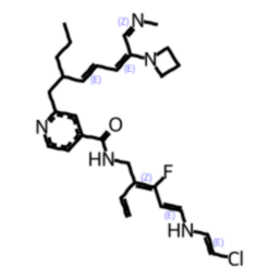 C=C/C(CNC(=O)c1ccnc(CC(/C=C/C=C(\C=N/C)N2CCC2)CCC)c1)=C(F)\C=C\N/C=C/Cl